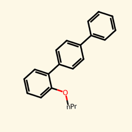 CCCOc1ccccc1-c1ccc(-c2ccccc2)cc1